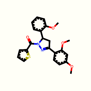 COc1ccc(C2=NN(C(=O)c3cccs3)C(c3ccccc3OC)C2)c(OC)c1